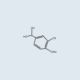 COc1ccc(B(O)O)cc1C#N